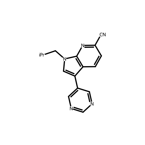 CC(C)Cn1cc(-c2cncnc2)c2ccc(C#N)nc21